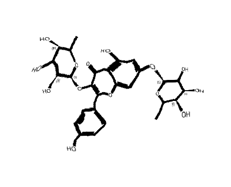 CC1O[C@@H](Oc2c(-c3ccc(O)cc3)oc3cc(O[C@@H]4OC(C)[C@H](O)[C@H](O)C4O)cc(O)c3c2=O)[C@@H](O)C(O)[C@H]1O